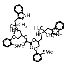 CSc1ccccc1OCC(CNC(C)(C)Cc1c[nH]c2ccccc12)OC(=O)C(=O)OC(CNC(C)(C)Cc1c[nH]c2ccccc12)COc1ccccc1SC